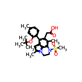 Cc1ccc(-c2c(CC(=O)O)c(C)c3c4c2cc(C)n4CCN3S(C)(=O)=O)c(OC(C)(C)C)c1